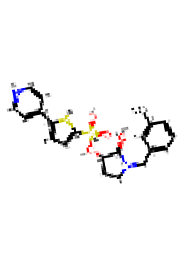 N#Cc1cccc(CN2CCC(OS(=O)(=O)c3ccc(-c4ccncc4)s3)C2=O)c1